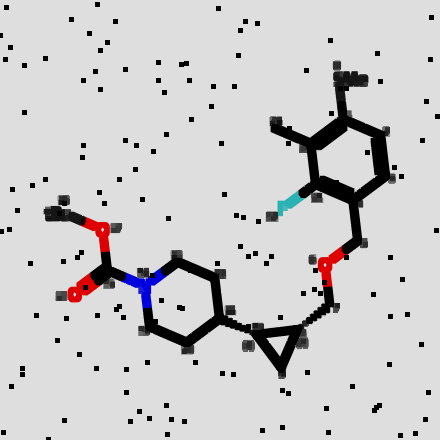 CSc1ccc(COC[C@@H]2C[C@@H]2C2CCN(C(=O)OC(C)(C)C)CC2)c(F)c1C